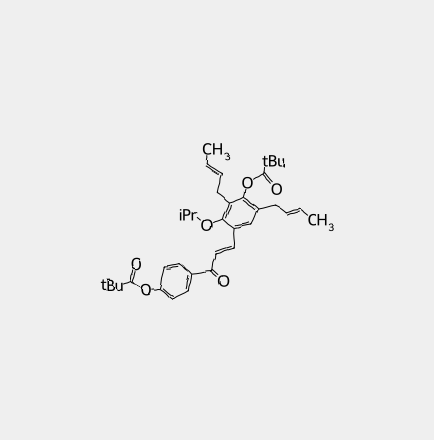 CC=CCc1cc(C=CC(=O)c2ccc(OC(=O)C(C)(C)C)cc2)c(OC(C)C)c(CC=CC)c1OC(=O)C(C)(C)C